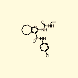 CCNC(=O)Nc1sc2c(c1C(=O)Nc1ccc(Cl)cc1)CCCCC2